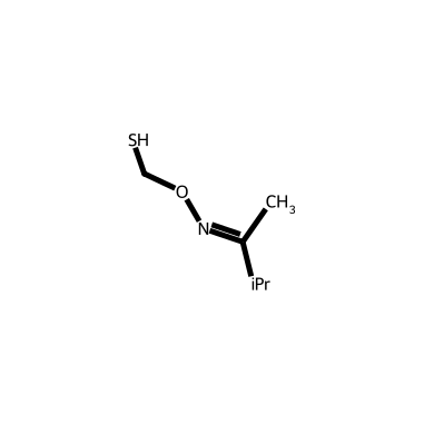 CC(=NOCS)C(C)C